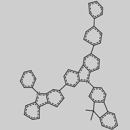 CC1(C)c2ccccc2-c2ccc(-n3c4ccc(-c5ccc(-c6ccccc6)cc5)cc4c4ccc(-c5ccc6c7ccccc7n(-c7ccccc7)c6c5)cc43)cc21